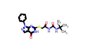 CC(C)(C)NC(=O)NC(=O)CSc1nc2c(cnn2-c2ccccc2)c(=O)[nH]1